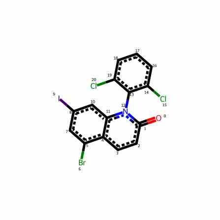 O=c1ccc2c(Br)cc(I)cc2n1-c1c(Cl)cccc1Cl